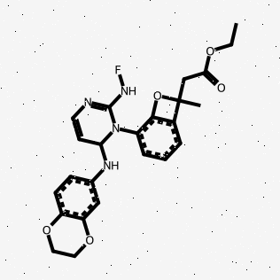 CCOC(=O)CC1(C)Oc2c(N3C(NF)=NC=CC3Nc3ccc4c(c3)OCCO4)cccc21